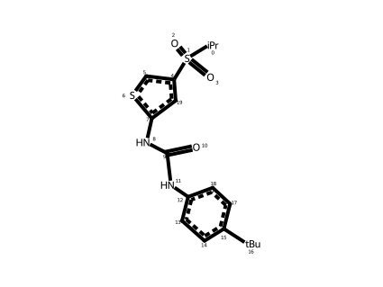 CC(C)S(=O)(=O)c1csc(NC(=O)Nc2ccc(C(C)(C)C)cc2)c1